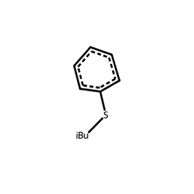 [CH2]CC(C)Sc1ccccc1